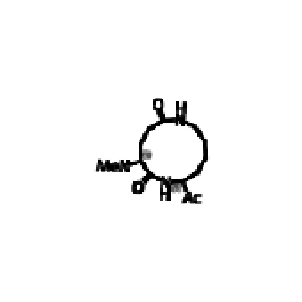 CN[C@H]1CCC(=O)NCCCC[C@@H](C(C)=O)NC1=O